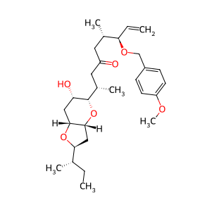 C=C[C@@H](OCc1ccc(OC)cc1)[C@@H](C)CC(=O)C[C@H](C)[C@@H]1O[C@@H]2C[C@@H]([C@@H](C)CC)O[C@@H]2C[C@@H]1O